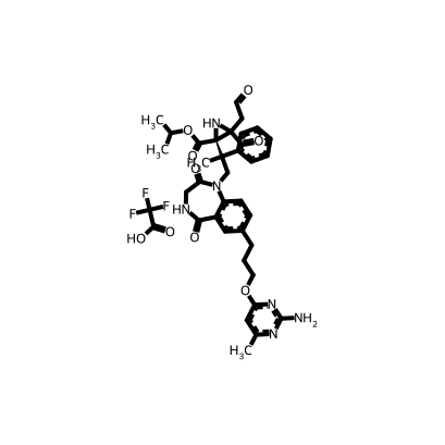 Cc1cc(OCCCc2ccc3c(c2)C(=O)NCC(=O)N3CC(C)(c2ccccc2)[C@@]2(C(=O)OC(C)C)NC2(C=O)CC=O)nc(N)n1.O=C(O)C(F)(F)F